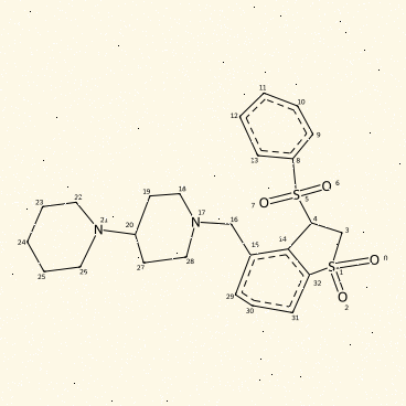 O=S1(=O)CC(S(=O)(=O)c2ccccc2)c2c(CN3CCC(N4CCCCC4)CC3)cccc21